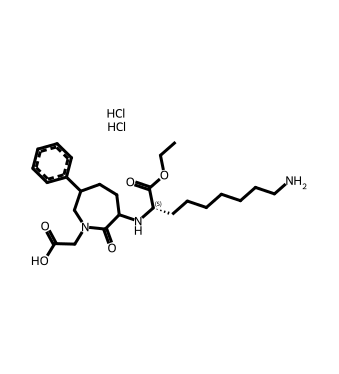 CCOC(=O)[C@H](CCCCCCCN)NC1CCC(c2ccccc2)CN(CC(=O)O)C1=O.Cl.Cl